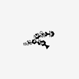 CC(C)(C)[Si](C)(C)OC1C[C@H](c2cn3cc(C4CC4)ccc3n2)N(c2cc(NC(=O)N3CC(c4ncccn4)C3)ncn2)C1